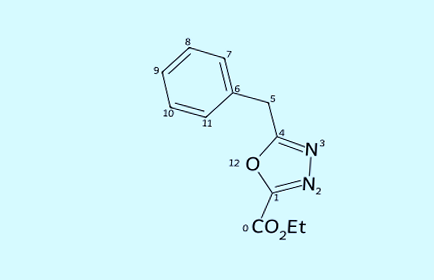 CCOC(=O)c1nnc(Cc2ccccc2)o1